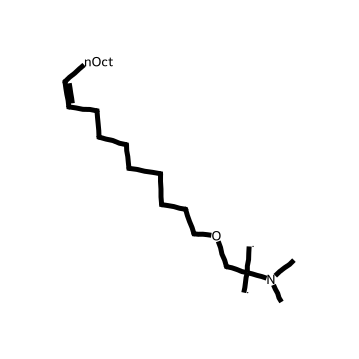 [CH2]C([CH2])(COCCCCCCCC/C=C\CCCCCCCC)N(C)C